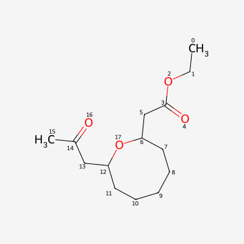 CCOC(=O)CC1CCCCCC(CC(C)=O)O1